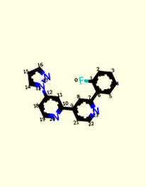 Fc1ccccc1-c1cc(-c2cc(-n3cccn3)ccn2)ccn1